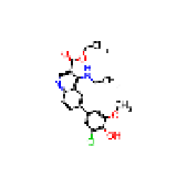 CCNc1c(C(=O)OCC)cnc2ccc(-c3cc(Cl)c(O)c(OC)c3)cc12